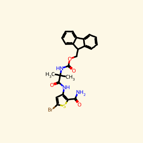 CC(C)(NC(=O)OCC1c2ccccc2-c2ccccc21)C(=O)Nc1cc(Br)sc1C(N)=O